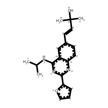 CC(C)Nc1nc(-c2ccco2)nc2ccc(/C=C/C(C)(C)O)cc12